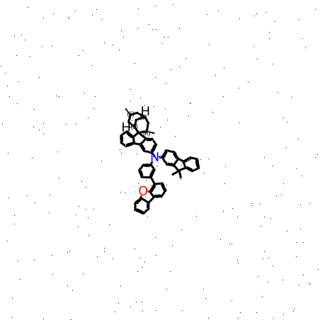 C[C@H]1C[C@@H]2C[C@H](C1)C1(c3ccccc3-c3cc(N(c4cccc(-c5cccc6c5oc5ccccc56)c4)c4ccc5c(c4)C(C)(C)c4ccccc4-5)ccc31)[C@H](C)C2